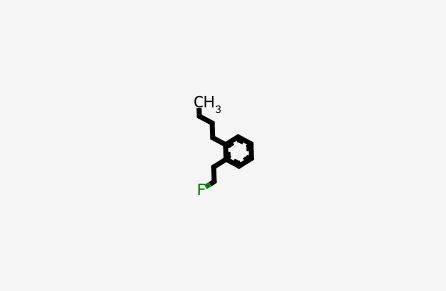 CCCCc1ccccc1CCF